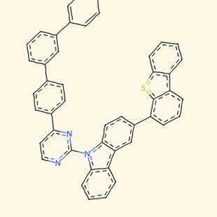 C1=CC(c2cccc(-c3ccc(-c4ccnc(-n5c6ccccc6c6cc(-c7cccc8c7sc7ccccc78)ccc65)n4)cc3)c2)=CCC1